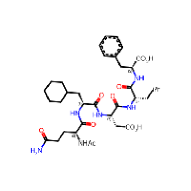 CC(=O)N[C@@H](CCC(N)=O)C(=O)N[C@@H](CC1CCCCC1)C(=O)N[C@@H](CC(=O)O)C(=O)N[C@@H](CC(C)C)C(=O)N[C@@H](Cc1ccccc1)C(=O)O